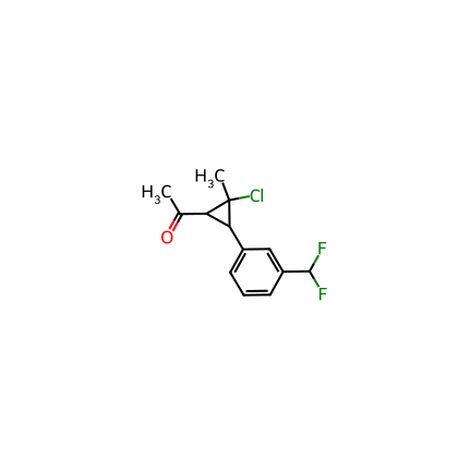 CC(=O)C1C(c2cccc(C(F)F)c2)C1(C)Cl